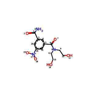 NC(=O)c1cc(C(=O)N(CCO)CCO)cc([N+](=O)[O-])c1